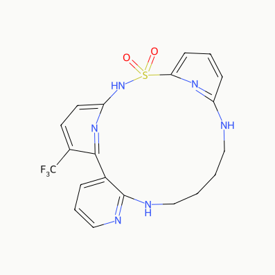 O=S1(=O)Nc2ccc(C(F)(F)F)c(n2)-c2cccnc2NCCCCNc2cccc1n2